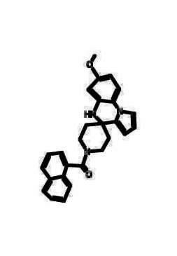 COc1ccc2c(c1)NC1(CCN(C(=O)c3cccc4ccccc34)CC1)c1cccn1-2